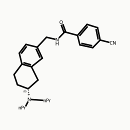 CCCN(CCC)[C@@H]1CCc2ccc(CNC(=O)c3ccc(C#N)cc3)cc2C1